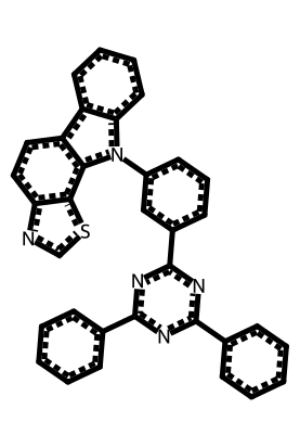 c1ccc(-c2nc(-c3ccccc3)nc(-c3cccc(-n4c5ccccc5c5ccc6ncsc6c54)c3)n2)cc1